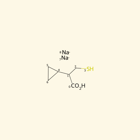 O=C(O)C(CS)C1CC1.[Na].[Na]